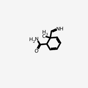 CC1(C=N)C=CC=CC1C(N)=O